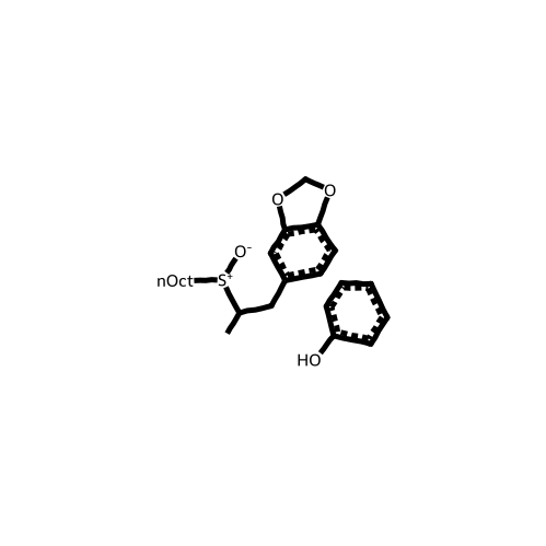 CCCCCCCC[S+]([O-])C(C)Cc1ccc2c(c1)OCO2.Oc1ccccc1